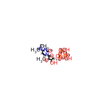 CO[C@H]1C(O)[C@@H](COP2(=O)OP(=O)(O)OP(=O)(O)O2)O[C@H]1n1ccc(N(C)C)nc1=O